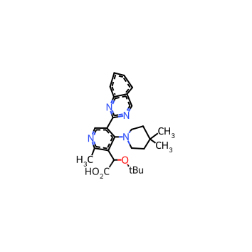 Cc1ncc(-c2ncc3ccccc3n2)c(N2CCC(C)(C)CC2)c1C(OC(C)(C)C)C(=O)O